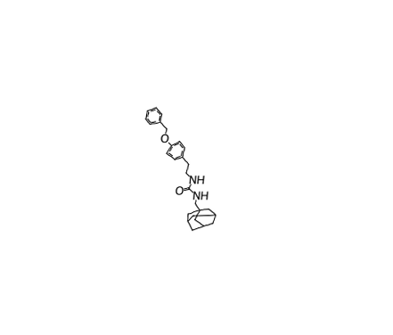 O=C(NCCc1ccc(OCc2ccccc2)cc1)NCC12CC3CC(CC(C3)C1)C2